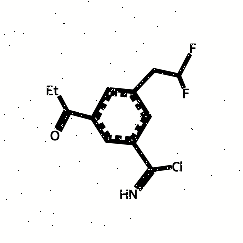 CCC(=O)c1cc(CC(F)F)cc(C(=N)Cl)c1